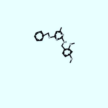 COc1ccc(CNc2nc(C)cc(OCc3ccccc3)n2)c(OC)c1